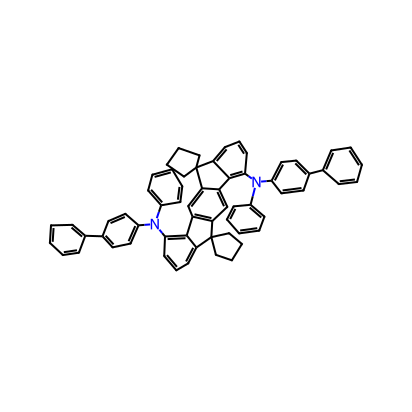 c1ccc(-c2ccc(N(c3ccccc3)c3cccc4c3-c3cc5c(cc3C43CCCC3)-c3c(N(c4ccccc4)c4ccc(-c6ccccc6)cc4)cccc3C53CCCC3)cc2)cc1